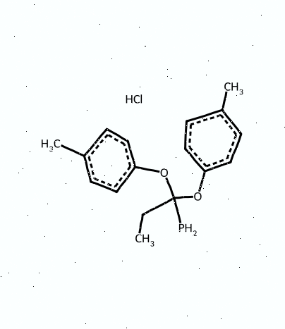 CCC(P)(Oc1ccc(C)cc1)Oc1ccc(C)cc1.Cl